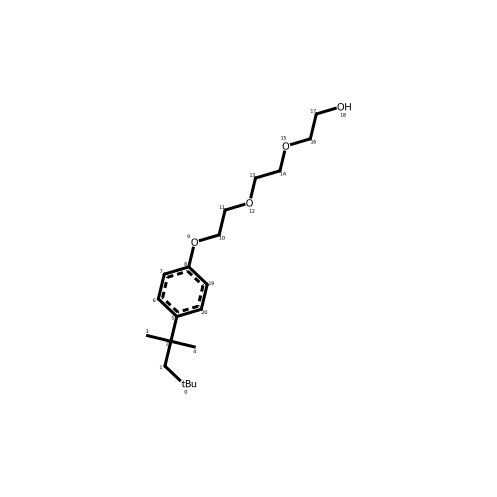 CC(C)(C)CC(C)(C)c1ccc(OCCOCCOCCO)cc1